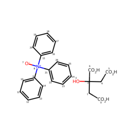 O=C(O)CC(O)(CC(=O)O)C(=O)O.[O-][N+](c1ccccc1)(c1ccccc1)c1ccccc1